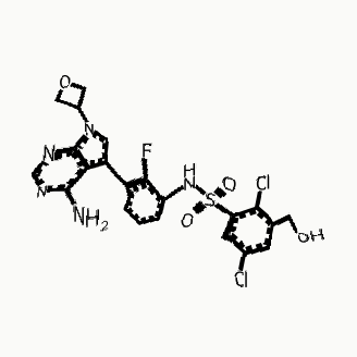 Nc1ncnc2c1c(-c1cccc(NS(=O)(=O)c3cc(Cl)cc(CO)c3Cl)c1F)cn2C1COC1